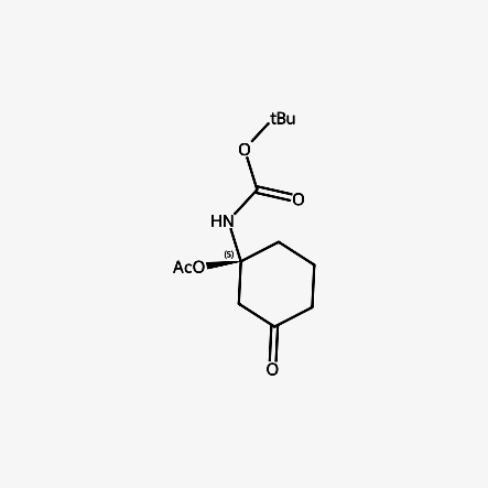 CC(=O)O[C@@]1(NC(=O)OC(C)(C)C)CCCC(=O)C1